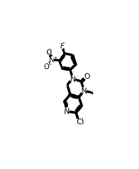 CN1C(=O)N(c2ccc(F)c([N+](=O)[O-])c2)Cc2cnc(Cl)cc21